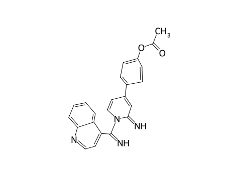 CC(=O)Oc1ccc(-c2ccn(C(=N)c3ccnc4ccccc34)c(=N)c2)cc1